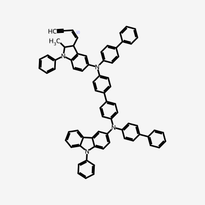 C#C/C=C\C1c2cc(N(c3ccc(-c4ccccc4)cc3)c3ccc(-c4ccc(N(c5ccc(-c6ccccc6)cc5)c5ccc6c(c5)c5ccccc5n6-c5ccccc5)cc4)cc3)ccc2N(c2ccccc2)C1C